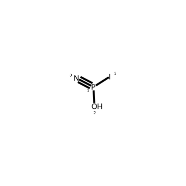 N#P(O)I